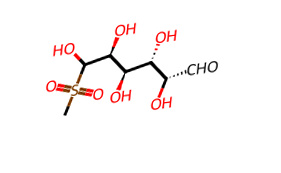 CS(=O)(=O)C(O)[C@@H](O)[C@H](O)[C@H](O)[C@@H](O)C=O